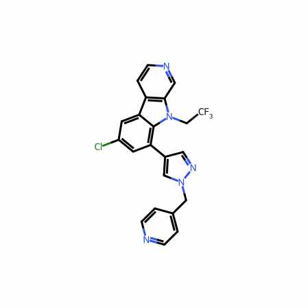 FC(F)(F)Cn1c2cnccc2c2cc(Cl)cc(-c3cnn(Cc4ccncc4)c3)c21